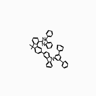 CC1(C)c2ccc(-c3ccc4c(c3)c3ccccc3n4-c3cc(-c4ccccc4)cc(-c4ccccc4)c3)cc2-c2c(-c3nc(-c4ccccc4)c4ccccc4n3)cccc21